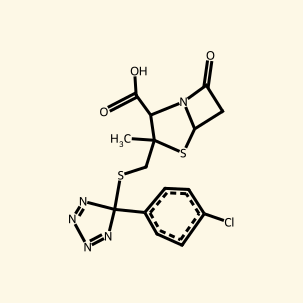 CC1(CSC2(c3ccc(Cl)cc3)N=NN=N2)SC2CC(=O)N2C1C(=O)O